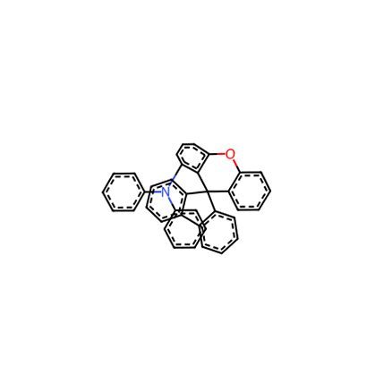 c1ccc(N(c2ccccc2)c2cccc3c2C2(c4ccccc4O3)c3ccccc3-c3ccccc32)cc1